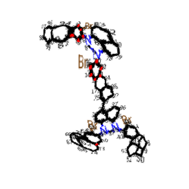 Brc1cc2c(cc1N1CN(c3cc4c(cc3Br)C3c5ccccc5C4c4ccc(-c5ccc6c7c(cccc57)N(c5cc7c(cc5Br)C5CC8CC9CC7CC89C5)CN6c5cc6c(cc5Br)C5CC7CC(C5)CC6C7)cc43)c3cccc4cccc1c34)C1c3ccccc3C2c2ccccc21